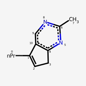 CCCC1=CCc2nc(C)ncc21